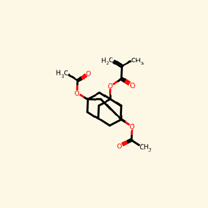 C=C(C)C(=O)OC12CC3CC(OC(C)=O)(CC(OC(C)=O)(C3)C1)C2